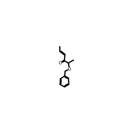 C/C=C/C(=O)C(C)OCc1ccccc1